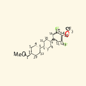 COC[C@H]1CC[C@H]([C@H]2CC[C@H](c3cc(F)c(OC(F)(F)F)c(F)c3)CC2)CC1